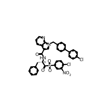 O=C(N[C@@H](Cc1ccccc1)C(=O)S(=O)(=O)c1ccc(Cl)c([N+](=O)[O-])c1)c1cn(Cc2ccc(-c3ccc(Cl)cc3)cc2)c2ncccc12